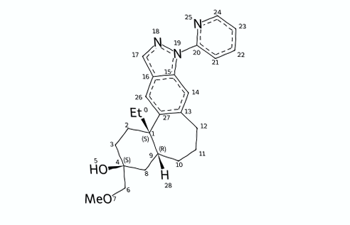 CC[C@]12CC[C@@](O)(COC)C[C@H]1CCCc1cc3c(cnn3-c3ccccn3)cc12